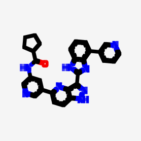 O=C(Nc1cncc(-c2ccc3[nH]nc(-c4nc5c(-c6cccnc6)cccc5[nH]4)c3n2)c1)C1CCCC1